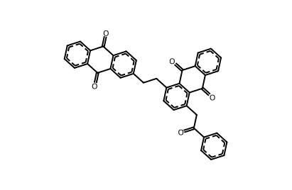 O=C(Cc1ccc(CCc2ccc3c(c2)C(=O)c2ccccc2C3=O)c2c1C(=O)c1ccccc1C2=O)c1ccccc1